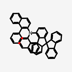 C1=CC2c3c(N(c4ccc5ccccc5c4-c4ccccc4)c4cccc5ccccc45)cccc3C3(c4ccccc4-c4ccccc43)C2C=C1